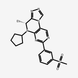 CC[C@@H]1c2nncn2-c2cnc(-c3cccc(S(C)(=O)=O)c3)nc2N1C1CCCC1